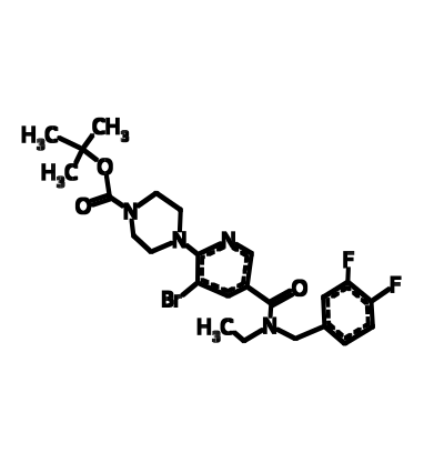 CCN(Cc1ccc(F)c(F)c1)C(=O)c1cnc(N2CCN(C(=O)OC(C)(C)C)CC2)c(Br)c1